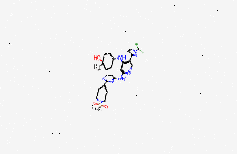 CC1(O)CCC(Nc2cc(Nc3ccnc(C4CCN(S(C)(=O)=O)CC4)n3)ncc2-c2ccn(C(F)F)n2)CC1